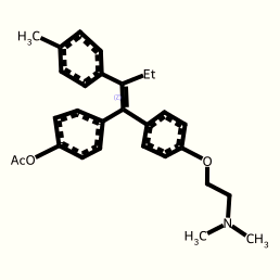 CC/C(=C(\c1ccc(OCCN(C)C)cc1)c1ccc(OC(C)=O)cc1)c1ccc(C)cc1